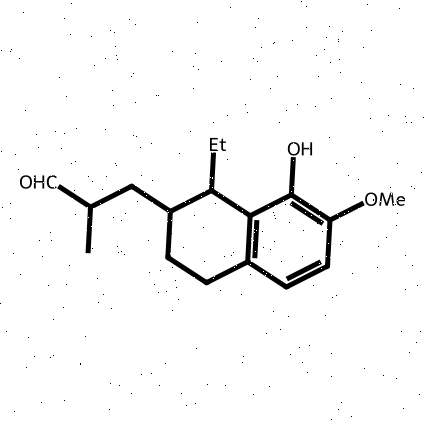 CCC1c2c(ccc(OC)c2O)CCC1CC(C)C=O